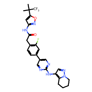 CC(C)(c1cc(NC(=O)Cc2ccc(-c3cnc(Nc4cnn5c4CCCC5)nc3)cc2F)no1)C(F)(F)F